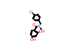 CN(Cc1ccc(Cl)cc1)C(=O)c1ccc(O)cc1O